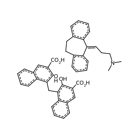 CN(C)CCC=C1c2ccccc2CCc2ccccc21.O=C(O)c1cc2ccccc2c(Cc2c(O)c(C(=O)O)cc3ccccc23)c1O